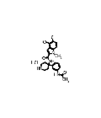 CC(=O)Nc1cccc(C2(NC(=O)c3cc4c(Cl)c(Cl)ccc4n3C)CCNCC2)c1.Cl